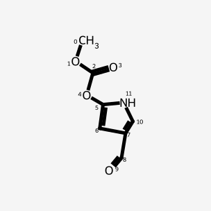 COC(=O)Oc1cc(C=O)c[nH]1